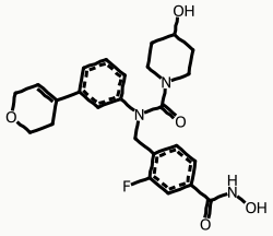 O=C(NO)c1ccc(CN(C(=O)N2CCC(O)CC2)c2cccc(C3=CCOCC3)c2)c(F)c1